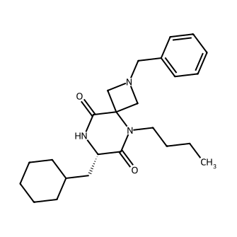 CCCCN1C(=O)[C@H](CC2CCCCC2)NC(=O)C12CN(Cc1ccccc1)C2